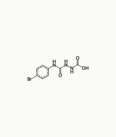 O=C(O)NNC(=O)Nc1ccc(Br)cc1